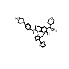 C=C(c1cc2cnc(Nc3ccc(N4CCNCC4)cc3)nc2n(Cc2scnc2-c2nccs2)c1=O)C1CCOCC1